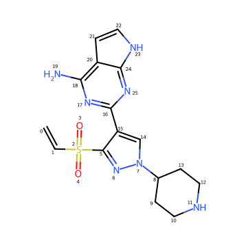 C=CS(=O)(=O)c1nn(C2CCNCC2)cc1-c1nc(N)c2cc[nH]c2n1